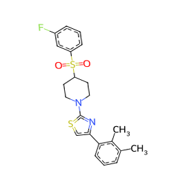 Cc1cccc(-c2csc(N3CCC(S(=O)(=O)c4cccc(F)c4)CC3)n2)c1C